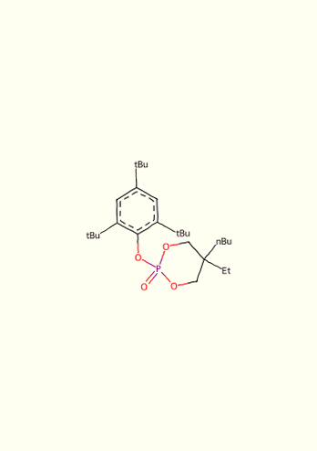 CCCCC1(CC)COP(=O)(Oc2c(C(C)(C)C)cc(C(C)(C)C)cc2C(C)(C)C)OC1